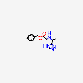 CC(NCC(=O)OCc1ccccc1)c1nnc[nH]1